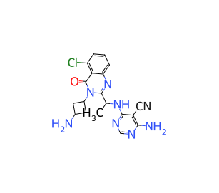 CC(Nc1ncnc(N)c1C#N)c1nc2cccc(Cl)c2c(=O)n1C1CC(N)C1